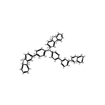 c1cc(-c2ccc(N(c3ccc(-c4ccc5sc6ccccc6c5c4)cc3)c3ccc4sc5ccccc5c4c3)cc2)cc(-c2ccc3ccccc3c2)c1